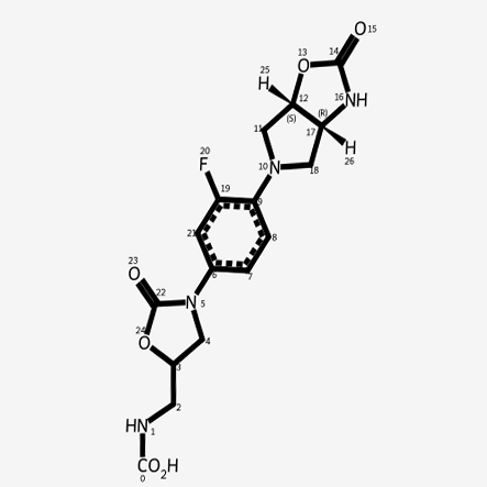 O=C(O)NCC1CN(c2ccc(N3C[C@@H]4OC(=O)N[C@@H]4C3)c(F)c2)C(=O)O1